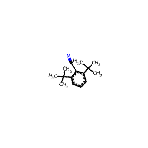 CC(C)(C)c1cccc(C(C)(C)C)c1C#N